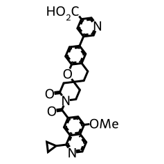 COc1cc(C(=O)N2CCC3(CCc4cc(-c5cncc(C(=O)O)c5)ccc4O3)CC2=O)cc2c(C3CC3)nccc12